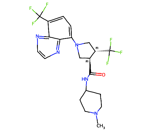 CN1CCC(NC(=O)[C@H]2CN(c3ccc(C(F)(F)F)c4nccnc34)C[C@@H]2C(F)(F)F)CC1